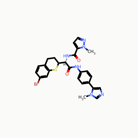 Cn1cncc1-c1ccc(NC(=O)[C@@H](NC(=O)c2ccnn2C)C2CCc3ccc(Br)cc3S2)cc1